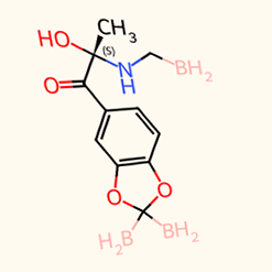 BCN[C@@](C)(O)C(=O)c1ccc2c(c1)OC(B)(B)O2